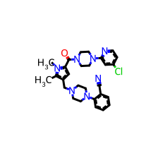 Cc1c(CN2CCN(c3ccccc3C#N)CC2)cc(C(=O)N2CCN(c3cc(Cl)ccn3)CC2)n1C